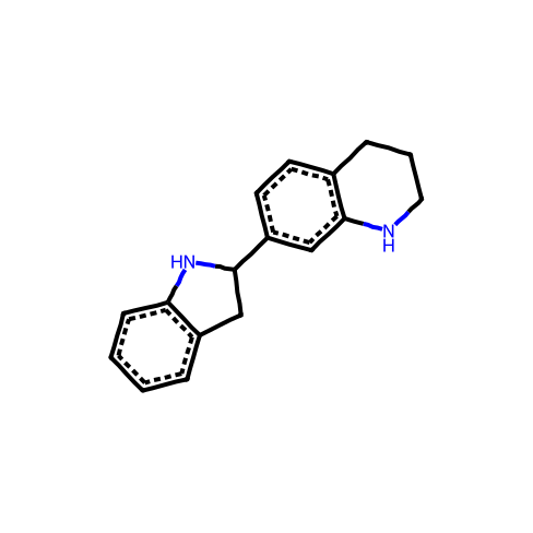 c1ccc2c(c1)CC(c1ccc3c(c1)NCCC3)N2